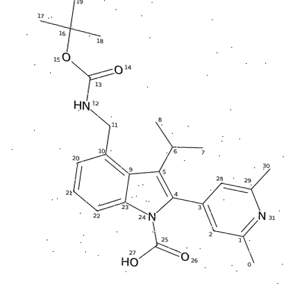 Cc1cc(-c2c(C(C)C)c3c(CNC(=O)OC(C)(C)C)cccc3n2C(=O)O)cc(C)n1